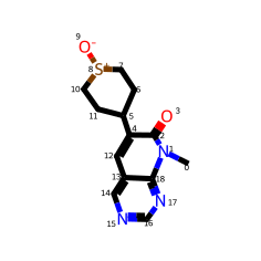 Cn1c(=O)c(C2CC[S+]([O-])CC2)cc2cncnc21